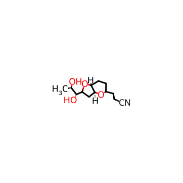 C[C@@H](O)[C@@H](O)C1C[C@@H]2OC(CCC#N)CC[C@@H]2O1